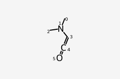 CN(C)C=C=O